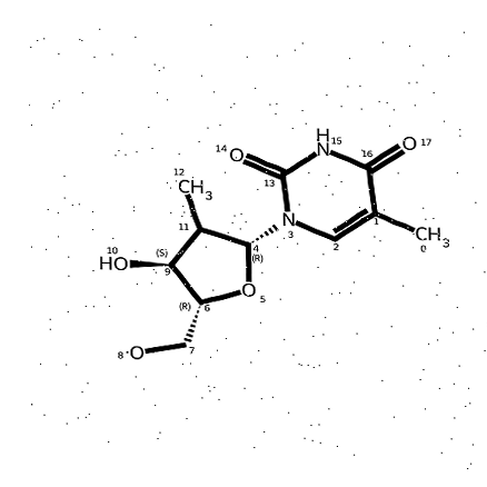 Cc1cn([C@@H]2O[C@H](C[O])[C@@H](O)C2C)c(=O)[nH]c1=O